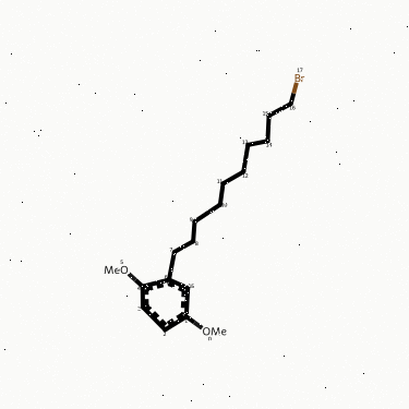 COc1ccc(OC)c(CCCCCCCCCCBr)c1